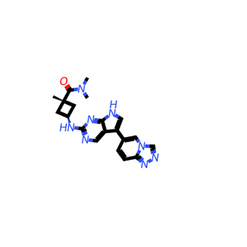 CN(C)C(=O)[C@]1(C)C[C@@H](Nc2ncc3c(-c4ccc5nncn5c4)c[nH]c3n2)C1